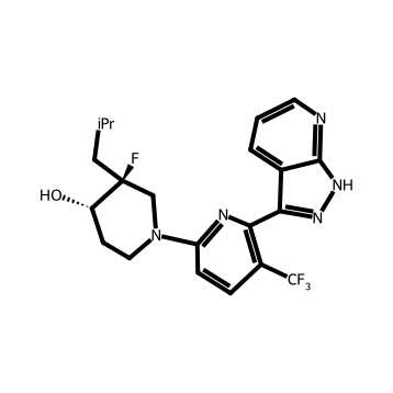 CC(C)C[C@]1(F)CN(c2ccc(C(F)(F)F)c(-c3n[nH]c4ncccc34)n2)CC[C@@H]1O